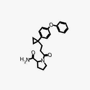 NC(=O)C1CCCN1C(=O)CCC1(c2ccc(Oc3ccccc3)cc2)CC1